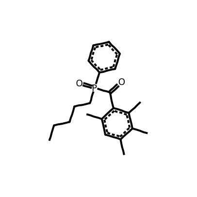 CCCCCP(=O)(C(=O)c1c(C)cc(C)c(C)c1C)c1ccccc1